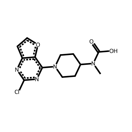 CN(C(=O)O)C1CCN(c2nc(Cl)nc3ccoc23)CC1